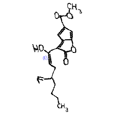 CCCCC(F)C/C=C(/O)C1=C2C=C(C(=O)OC)C=C2OC1=O